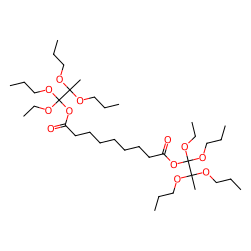 CCCOC(C)(OCCC)C(OCC)(OCCC)OC(=O)CCCCCCCC(=O)OC(OCC)(OCCC)C(C)(OCCC)OCCC